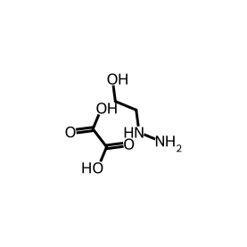 NNCCO.O=C(O)C(=O)O